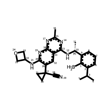 Bc1c(C(C)C)cccc1[C@@H](C)Nc1nc(C)nc2nc(NC3COC3)c(C3(C#N)CC3)cc12